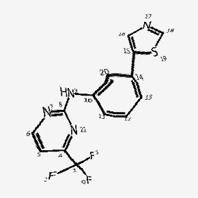 FC(F)(F)c1ccnc(Nc2cccc(-c3cncs3)c2)n1